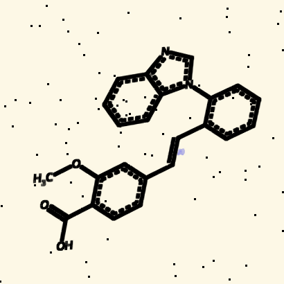 COc1cc(/C=C/c2ccccc2-n2cnc3ccccc32)ccc1C(=O)O